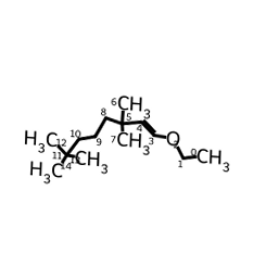 CCO/C=C/C(C)(C)CCCC(C)(C)C